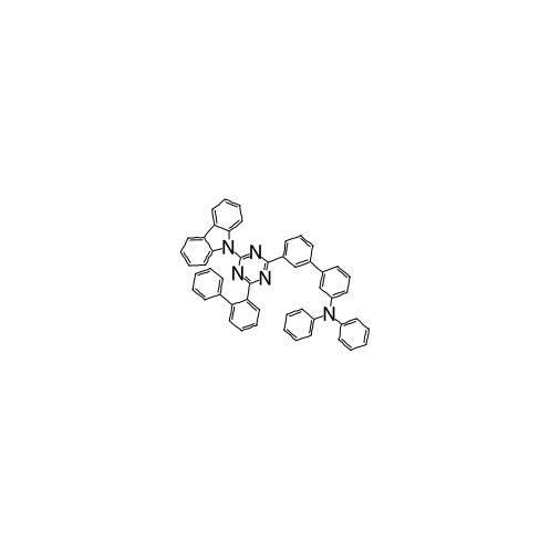 c1ccc(-c2ccccc2-c2nc(-c3cccc(-c4cccc(N(c5ccccc5)c5ccccc5)c4)c3)nc(-n3c4ccccc4c4ccccc43)n2)cc1